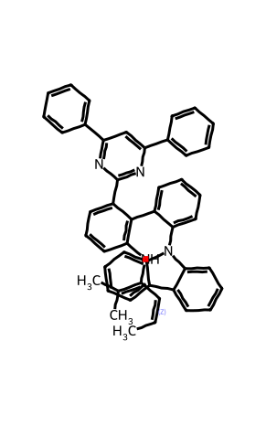 C/C=C\C(Nc1cccc(-c2nc(-c3ccccc3)cc(-c3ccccc3)n2)c1-c1ccccc1-n1c2ccccc2c2ccccc21)=C(C)C